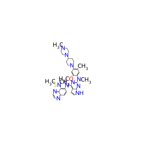 COc1cc(N2CCC(N3CCN(C)CC3)CC2)c(C)cc1N(C)c1nc(N(I)c2ccc3nccnc3c2N(C)SC)c2cc[nH]c2n1